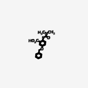 CN(C)C(=O)Sc1ccc(OCc2ccccc2)cc1C(=O)O